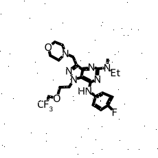 CCN(C)c1nc(Nc2ccc(F)cc2)c2c(n1)c(CN1CCOCC1)nn2CCOCC(F)(F)F